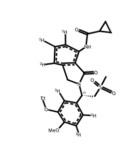 [2H]c1c([2H])c2c(c(NC(=O)C3CC3)c1[2H])C(=O)N([C@H](CS(C)(=O)=O)c1c([2H])c([2H])c(OC)c(OCC)c1[2H])C2